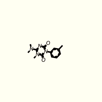 Cc1cccc(-n2c(=O)nc(N(C)C)n(C)c2=O)c1